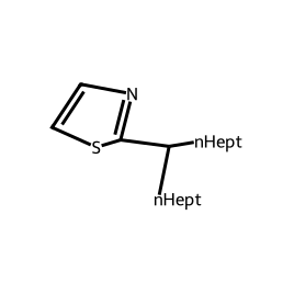 CCCCCCCC(CCCCCCC)c1nccs1